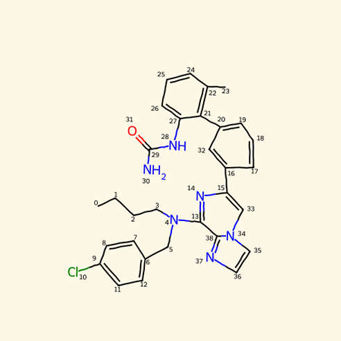 CCCCN(Cc1ccc(Cl)cc1)c1nc(-c2cccc(-c3c(C)cccc3NC(N)=O)c2)cn2ccnc12